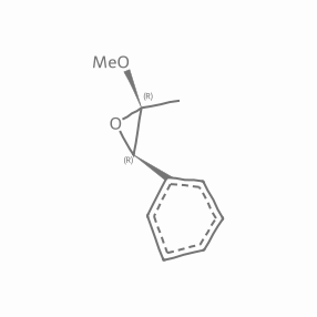 CO[C@]1(C)O[C@@H]1c1ccccc1